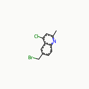 Cc1cc(Cl)c2cc(CBr)ccc2n1